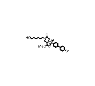 COC(=O)C1CN(CCCCCCO)C(=O)CN1S(=O)(=O)c1ccc(-c2ccc(Br)cc2)cc1